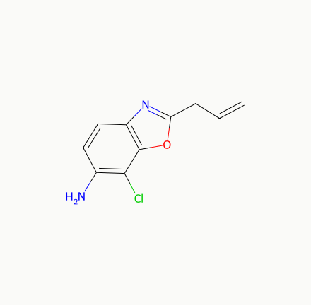 C=CCc1nc2ccc(N)c(Cl)c2o1